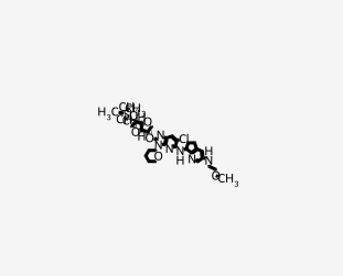 COCCNc1cnc2c(c1)CCC2Nc1nc2c(cc1Cl)nc(O[C@@H]1CO[C@@H]3C(O[Si](C)(C)C(C)(C)C)CO[C@@H]31)n2C1CCCCO1